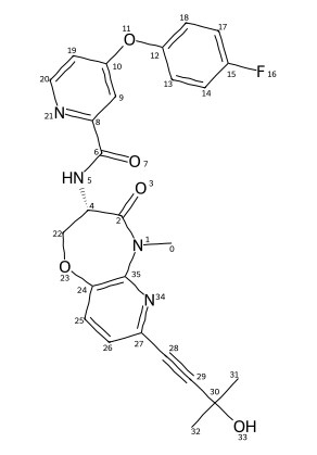 CN1C(=O)[C@@H](NC(=O)c2cc(Oc3ccc(F)cc3)ccn2)COc2ccc(C#CC(C)(C)O)nc21